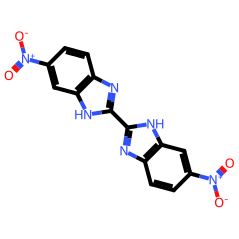 O=[N+]([O-])c1ccc2nc(-c3nc4ccc([N+](=O)[O-])cc4[nH]3)[nH]c2c1